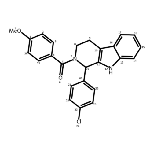 COc1ccc(C(=O)N2CCc3c([nH]c4ccccc34)C2c2ccc(Cl)cc2)cc1